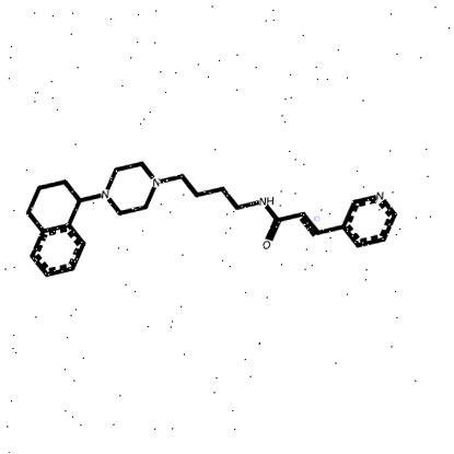 O=C(/C=C/c1cccnc1)NCCCCN1CCN(C2CCCc3ccccc32)CC1